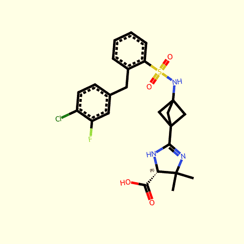 CC1(C)N=C(C23CC(NS(=O)(=O)c4ccccc4Cc4ccc(Cl)c(F)c4)(C2)C3)N[C@H]1C(=O)O